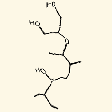 CC(CP(O)C(C)C)C(C)OC(CO)CO